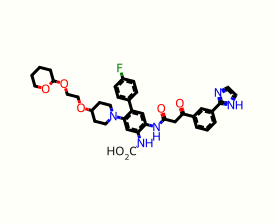 O=C(O)Nc1cc(N2CCC(OCCOC3CCCCO3)CC2)c(-c2ccc(F)cc2)cc1NC(=O)CC(=O)c1cccc(-c2ncc[nH]2)c1